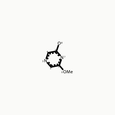 COc1cncc([O])n1